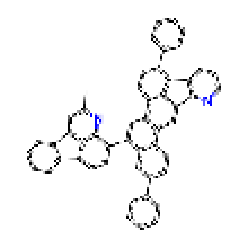 Cc1cc2c3c(ccc(-c4cc5c6ccc(-c7ccccc7)c7c6c(cc5c5ccc(-c6ccccc6)cc45)-c4ncccc4-7)c3n1)-c1ccccc1-2